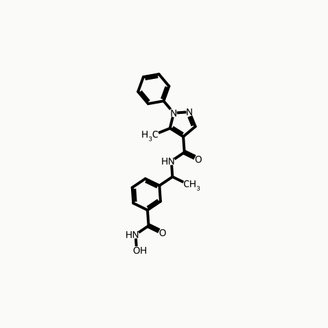 Cc1c(C(=O)NC(C)c2cccc(C(=O)NO)c2)cnn1-c1ccccc1